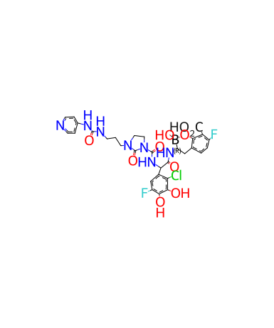 O=C(NCCCN1CCN(C(=O)NC(C(=O)N[C@H]2Cc3ccc(F)c(C(=O)O)c3OB2O)c2cc(F)c(O)c(O)c2Cl)C1=O)Nc1ccncc1